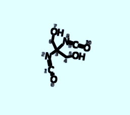 O=C=NC(CO)(CO)N=C=O